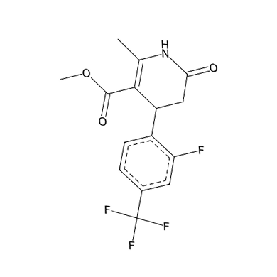 COC(=O)C1=C(C)NC(=O)CC1c1ccc(C(F)(F)F)cc1F